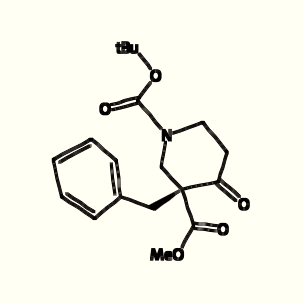 COC(=O)[C@]1(Cc2ccccc2)CN(C(=O)OC(C)(C)C)CCC1=O